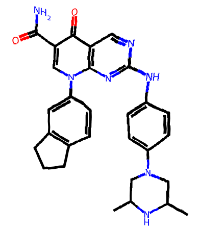 CC1CN(c2ccc(Nc3ncc4c(=O)c(C(N)=O)cn(-c5ccc6c(c5)CCC6)c4n3)cc2)CC(C)N1